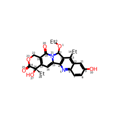 CCOC1c2c(nc3ccc(O)cc3c2CC)-c2cc3c(c(=O)n21)COC(=O)[C@]3(O)CC